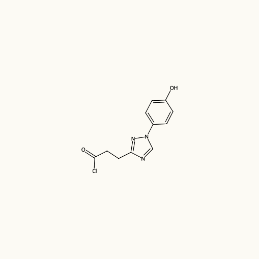 O=C(Cl)CCc1ncn(-c2ccc(O)cc2)n1